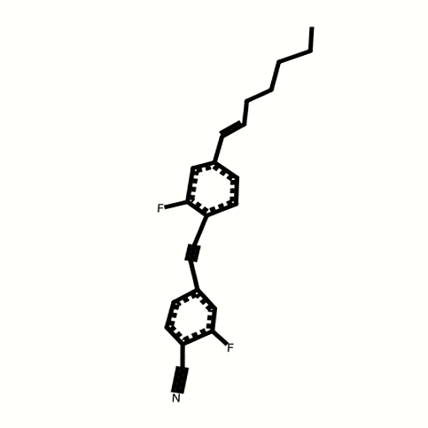 CCCCC/C=C/c1ccc(C#Cc2ccc(C#N)c(F)c2)c(F)c1